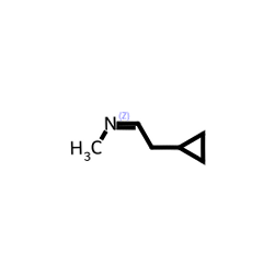 C/N=C\CC1CC1